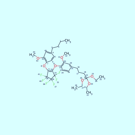 CCCCc1ccc(OC2=C(Oc3ccc(CCC[Si](OCC)(OCC)OCC)cc3OC)C(F)(F)C(F)(F)C2(F)F)c(OC)c1